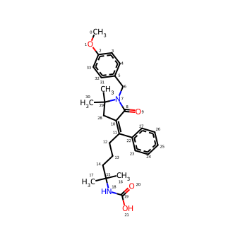 COc1ccc(CN2C(=O)/C(=C(/CCCC(C)(C)NC(=O)O)c3ccccc3)CC2(C)C)cc1